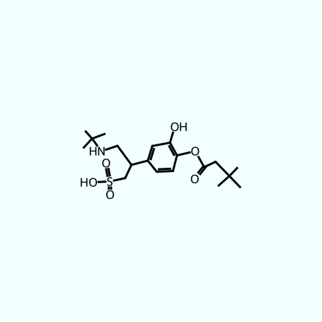 CC(C)(C)CC(=O)Oc1ccc(C(CNC(C)(C)C)CS(=O)(=O)O)cc1O